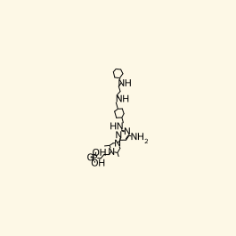 CC1CN(c2cc(N)nc(NCC3CCC(CNCCCNC4CCCCC4)CC3)n2)CC(C)N1CCCP(=O)(O)O